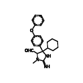 CN1C(=N)NC(c2ccc(Oc3ccccc3)cc2)(C2CCCCC2)C1C=O